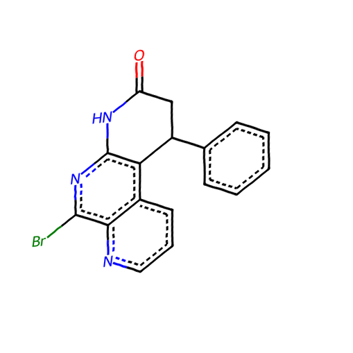 O=C1CC(c2ccccc2)c2c(nc(Br)c3ncccc23)N1